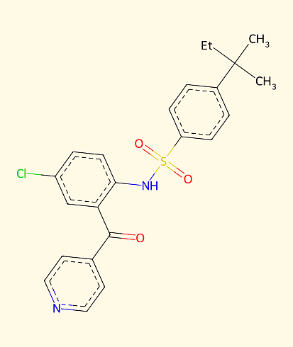 CCC(C)(C)c1ccc(S(=O)(=O)Nc2ccc(Cl)cc2C(=O)c2ccncc2)cc1